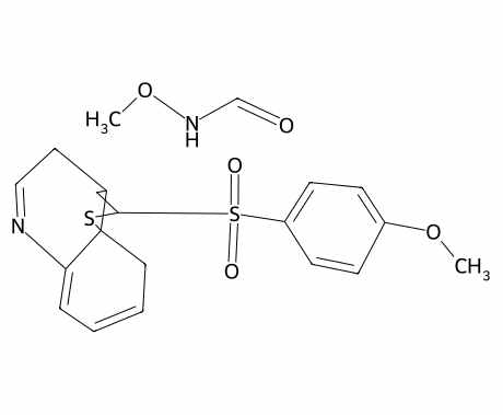 CONC=O.COc1ccc(S(=O)(=O)C2CC3CC=NC4=CC=CCC43S2)cc1